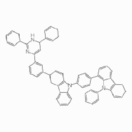 C1=CCC(C2=NC(c3cccc(C4C=Cc5c(c6ccccc6n5-c5ccc(-c6cccc7c8c(n(-c9ccccc9)c67)C=CCC8)cc5)C4)c3)=CC(C3=CCCC=C3)N2)C=C1